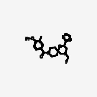 Cc1cc(C(=O)N2CCC3(CC2)CN(CF)CC(c2ncco2)O3)ccc1OC(C)C